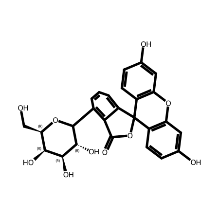 O=C1OC2(c3ccc(O)cc3Oc3cc(O)ccc32)c2cccc(C3O[C@H](CO)[C@H](O)[C@H](O)[C@H]3O)c21